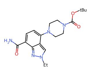 CCn1cc2c(N3CCN(C(=O)OC(C)(C)C)CC3)ccc(C(N)=O)c2n1